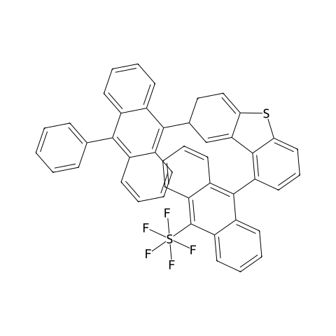 FS(F)(F)(F)(F)c1c2ccccc2c(-c2cccc3sc4c(c23)=CC(c2c3ccccc3c(-c3ccccc3)c3ccccc23)CC=4)c2ccccc12